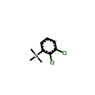 C[Si](C)(C)c1cc[c]c(Cl)c1Cl